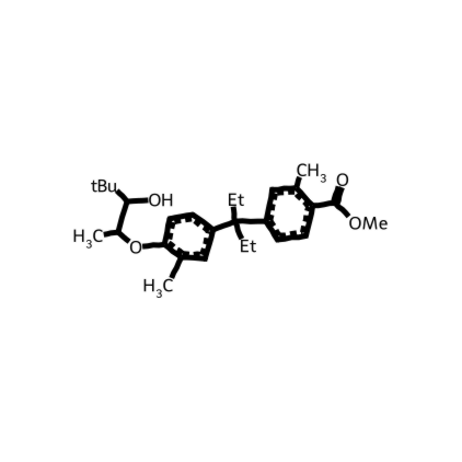 CCC(CC)(c1ccc(OC(C)C(O)C(C)(C)C)c(C)c1)c1ccc(C(=O)OC)c(C)c1